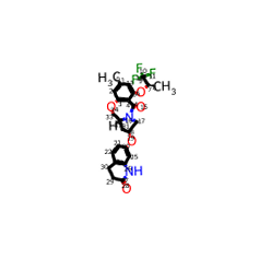 Cc1cc2c(c(O[C@H](C)C(F)(F)F)c1)C(=O)N1C[C@@H](Oc3ccc4c(c3)NC(=O)CC4)C[C@@H]1CO2